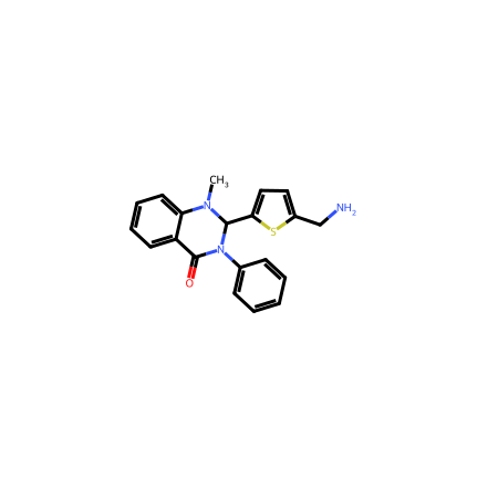 CN1c2ccccc2C(=O)N(c2ccccc2)C1c1ccc(CN)s1